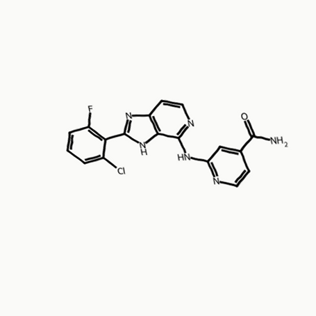 NC(=O)c1ccnc(Nc2nccc3nc(-c4c(F)cccc4Cl)[nH]c23)c1